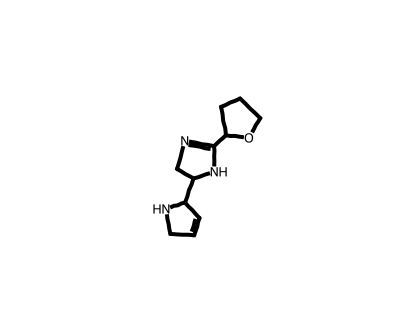 C1=CC(C2CN=C(C3CCCO3)N2)NC1